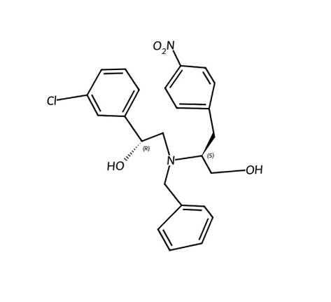 O=[N+]([O-])c1ccc(C[C@@H](CO)N(Cc2ccccc2)C[C@H](O)c2cccc(Cl)c2)cc1